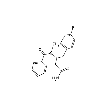 CN(C(=O)c1ccccc1)C(CC(N)=O)Cc1ccc(F)cc1